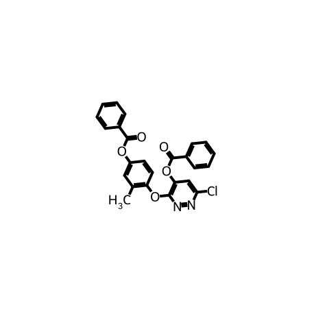 Cc1cc(OC(=O)c2ccccc2)ccc1Oc1nnc(Cl)cc1OC(=O)c1ccccc1